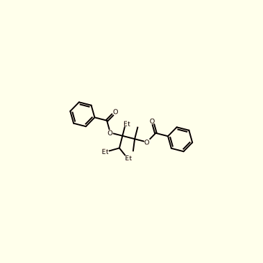 CCC(CC)C(CC)(OC(=O)c1ccccc1)C(C)(C)OC(=O)c1ccccc1